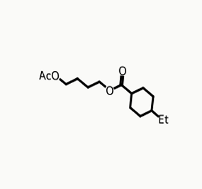 CCC1CCC(C(=O)OCCCCOC(C)=O)CC1